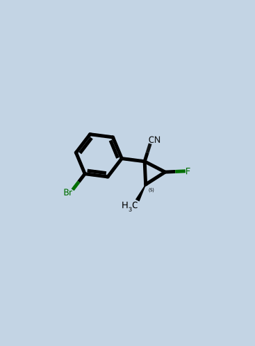 C[C@@H]1C(F)C1(C#N)c1cccc(Br)c1